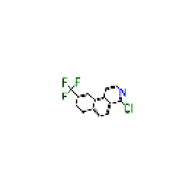 FC(F)(F)C1=Cc2c(ccc3c(Cl)nccc23)CC1